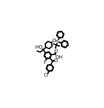 CCC(O)(c1cc(F)c(C(=O)c2ccc(Cl)cc2)c(C(=O)O)c1)C1CCC(O[Si](c2ccccc2)(c2ccccc2)C(C)(C)C)CC1